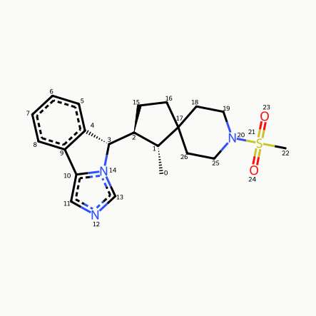 C[C@@H]1[C@@H]([C@H]2c3ccccc3-c3cncn32)CCC12CCN(S(C)(=O)=O)CC2